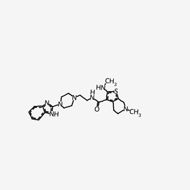 CNc1sc2c(c1C(=O)NCCN1CCN(c3nc4ccccc4[nH]3)CC1)CCN(C)C2